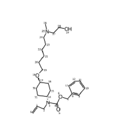 C=CCN(C(=O)OCc1ccccc1)[C@H]1CC[C@H](OCCCCCCN(C)CCO)CC1